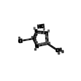 Cc1csc(Cl)n1.Cl